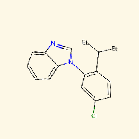 CCC(CC)c1ccc(Cl)cc1-n1cnc2ccccc21